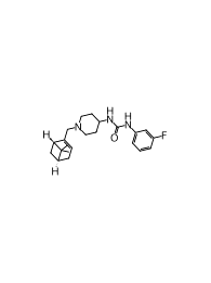 CC1(C)[C@H]2CC=C(CN3CCC(NC(=O)Nc4cccc(F)c4)CC3)[C@H]1C2